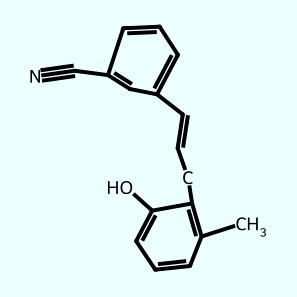 Cc1cccc(O)c1C/C=C/c1cccc(C#N)c1